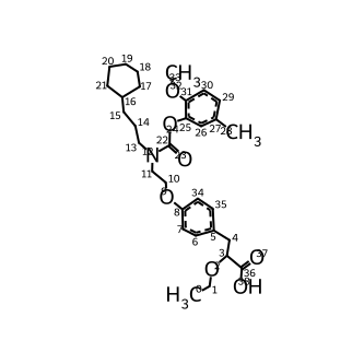 CCOC(Cc1ccc(OCCN(CCCC2CCCCC2)C(=O)Oc2cc(C)ccc2OC)cc1)C(=O)O